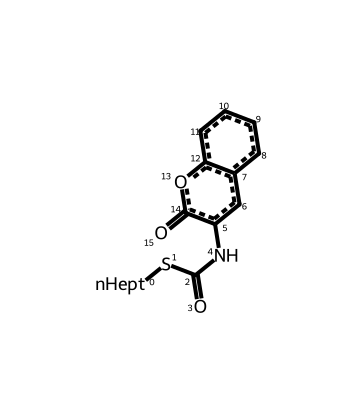 CCCCCCCSC(=O)Nc1cc2ccccc2oc1=O